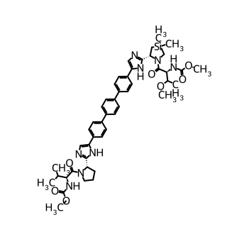 COC(=O)N[C@H](C(=O)N1CCC[C@H]1c1ncc(-c2ccc(-c3ccc(-c4ccc(-c5cnc([C@@H]6C[Si](C)(C)CN6C(=O)[C@@H](NC(=O)OC)C(C)OC)[nH]5)cc4)cc3)cc2)[nH]1)C(C)C